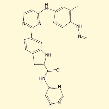 C=NNc1ccc(Nc2ccnc(-c3ccc4cc(C(=O)Nc5cnncn5)[nH]c4c3)n2)cc1C